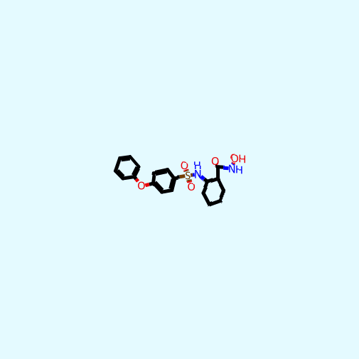 O=C(NO)C1CCCCC1NS(=O)(=O)c1ccc(Oc2ccccc2)cc1